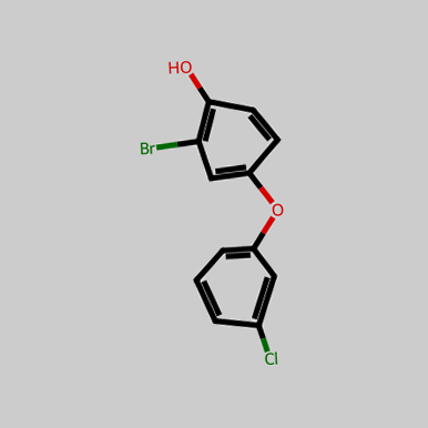 Oc1ccc(Oc2cccc(Cl)c2)cc1Br